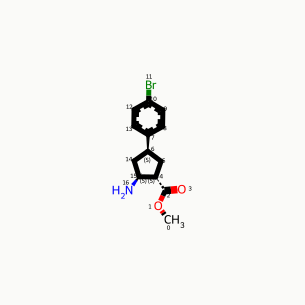 COC(=O)[C@H]1C[C@H](c2ccc(Br)cc2)C[C@@H]1N